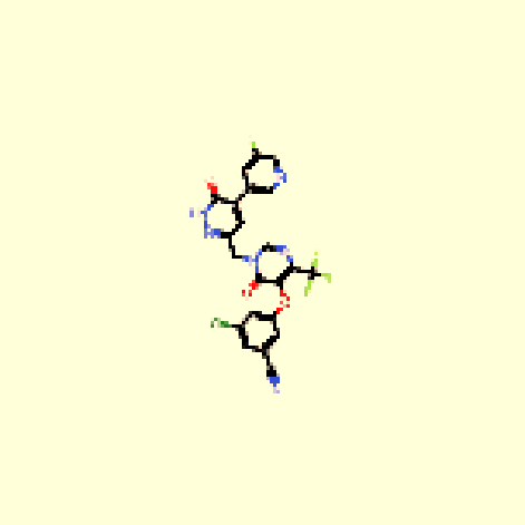 N#Cc1cc(Cl)cc(Oc2c(C(F)(F)F)ncn(Cc3cc(-c4cncc(F)c4)c(=O)[nH]n3)c2=O)c1